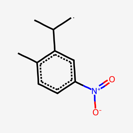 [CH2]C(C)c1cc([N+](=O)[O-])ccc1C